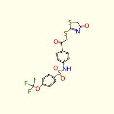 O=C1CSC(SCC(=O)c2ccc(NS(=O)(=O)c3ccc(OC(F)(F)F)cc3)cc2)=N1